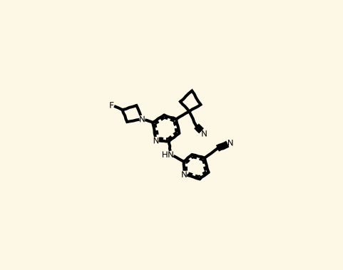 N#Cc1ccnc(Nc2cc(C3(C#N)CCC3)cc(N3CC(F)C3)n2)c1